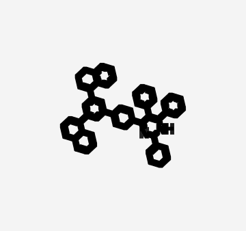 C1=CC2C=CC=C(c3cc(C4=CCC(C5=NC(C6=CCCC=C6)NC(c6ccccc6)=C5c5ccccc5)C=C4)cc(C4=CCCc5ccccc54)c3)C2C=C1